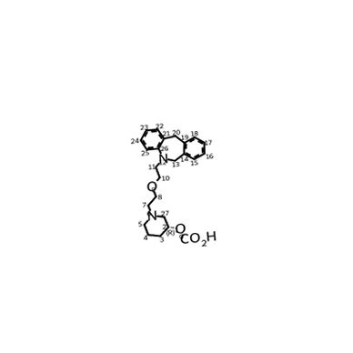 O=C(O)O[C@@H]1CCCN(CCOCCN2Cc3ccccc3Cc3ccccc32)C1